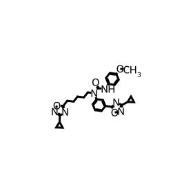 COc1ccc(NC(=O)N(CCCCCc2nc(C3CC3)no2)c2cccc(-c3nc(C4CC4)no3)c2)cc1